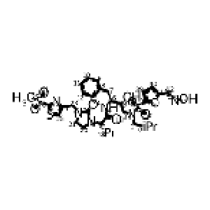 CC(C)CN(C[C@@H](O)[C@H](Cc1ccccc1)NC(=O)[C@H](C(C)C)N1CCN(Cc2csc(S(C)(=O)=O)n2)C1=O)S(=O)(=O)c1ccc(C=NO)o1